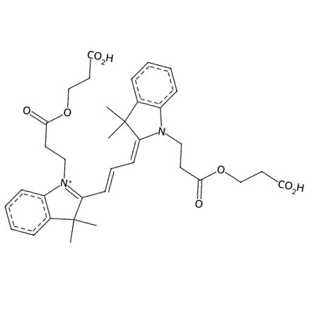 CC1(C)C(=CC=CC2=[N+](CCC(=O)OCCC(=O)O)c3ccccc3C2(C)C)N(CCC(=O)OCCC(=O)O)c2ccccc21